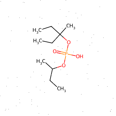 CCC(C)OP(=O)(O)OC(C)(CC)CC